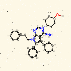 CO[C@H]1CC[C@H](n2cnc3c(c(-c4ccccc4)c(-c4ccccc4)n3CCc3ccccc3)c2=N)CC1